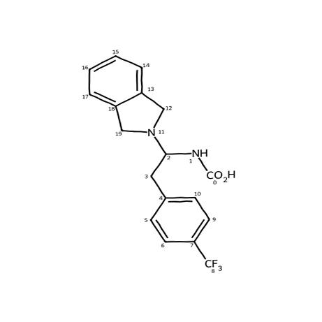 O=C(O)NC(Cc1ccc(C(F)(F)F)cc1)N1Cc2ccccc2C1